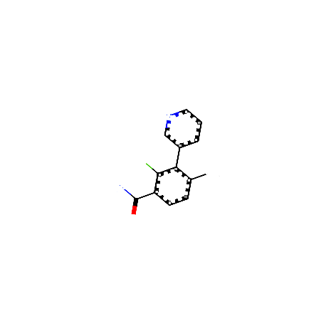 Cc1ccc(C(N)=O)c(F)c1-c1cccnc1